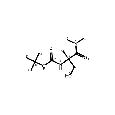 CN(C)C(=O)[C@](C)(CO)NC(=O)OC(C)(C)C